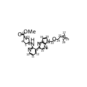 COC(=O)N1CC[C@@H](Nc2ncccc2-c2cnc3c(ccn3COCC[Si](C)(C)C)n2)C1